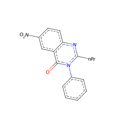 CCCc1nc2ccc([N+](=O)[O-])cc2c(=O)n1-c1ccccc1